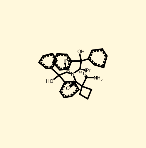 CC(C)[C@@H](N(C(=O)C1(C(N)=O)CCC1)[C@H](C(C)C)C(O)(c1ccccc1)c1ccccc1)C(O)(c1ccccc1)c1ccccc1